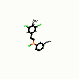 COc1cccc(P(Cl)/C=C/c2cc(Cl)c(C(=O)O)c(Cl)c2)c1